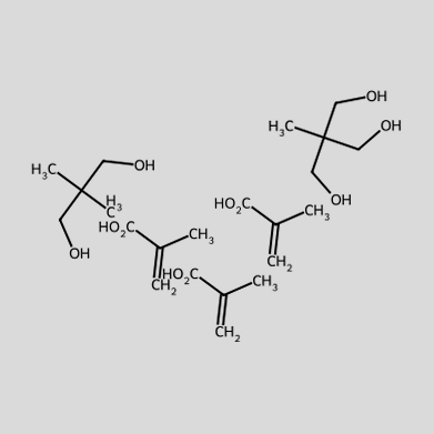 C=C(C)C(=O)O.C=C(C)C(=O)O.C=C(C)C(=O)O.CC(C)(CO)CO.CC(CO)(CO)CO